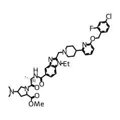 CCn1c(CN2CCC(c3cccc(OCc4ccc(Cl)cc4F)n3)CC2)nc2cc(C(=O)N[C@@H](C)C(=O)N3CC(N(C)C)CC3C(=O)OC)ccc21